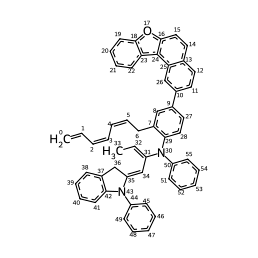 C=C/C=C\C=C/Cc1cc(-c2ccc3ccc4oc5ccccc5c4c3c2)ccc1N(C(=C/C)/C=C1\Cc2ccccc2N1c1ccccc1)c1ccccc1